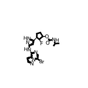 CC(C)NC(=O)O[C@@H]1CC[C@H](c2cc(Nc3ncc(Br)n4nccc34)n[nH]2)[C@@H]1F